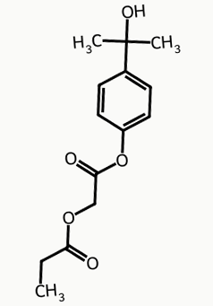 CCC(=O)OCC(=O)Oc1ccc(C(C)(C)O)cc1